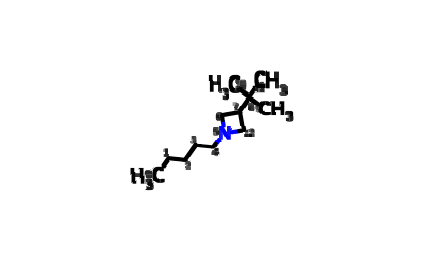 CCCCCN1CC(C(C)(C)C)C1